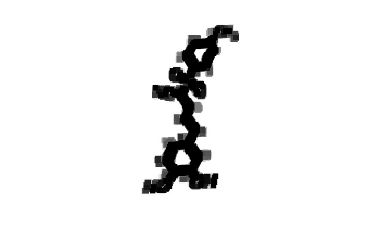 Cc1ccc(S(=O)(=O)/C(C#N)=C/C=C/c2ccc(O)c(O)c2)cc1